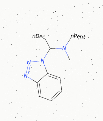 CCCCCCCCCCC(N(C)CCCCC)n1nnc2ccccc21